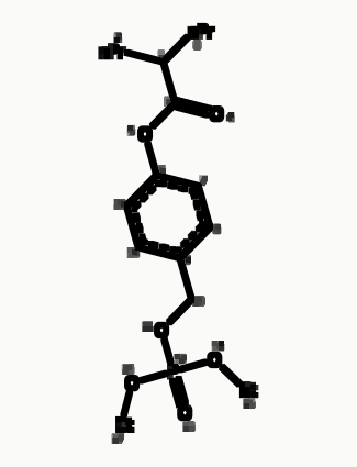 CCCC(CCC)C(=O)Oc1ccc(COP(=O)(OCC)OCC)cc1